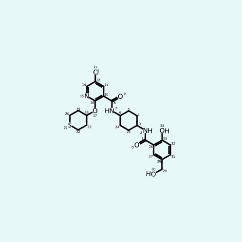 O=C(NC1CCC(NC(=O)c2cc(Cl)cnc2OC2CCSCC2)CC1)c1cc(CO)ccc1O